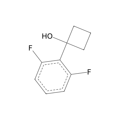 OC1(c2c(F)cccc2F)CCC1